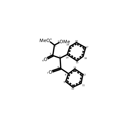 COC(OC)C(=O)C(C(=O)c1ccccc1)c1ccccc1